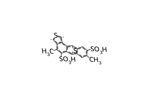 Cc1cc2c(cc1S(=O)(=O)O)c1sc2c2c(S(=O)(=O)O)c(C)c3[c]s[c]c3c12